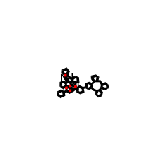 c1ccc(-c2ccc(N(c3cccc(-c4ccc5c(c4)Cc4ccccc4-c4ccccc4Cc4ccccc4-5)c3)c3cccc4c3C3(c5ccccc5-c5ccccc53)c3nc5ccccc5n3-4)cc2)cc1